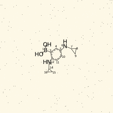 OB(O)c1cc(NC2CC2)ccc1NC1CC1